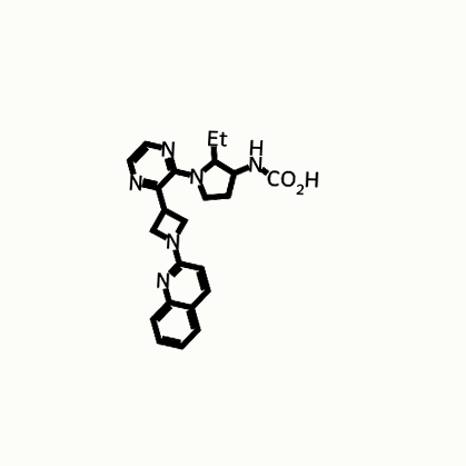 CCC1C(NC(=O)O)CCN1c1nccnc1C1CN(c2ccc3ccccc3n2)C1